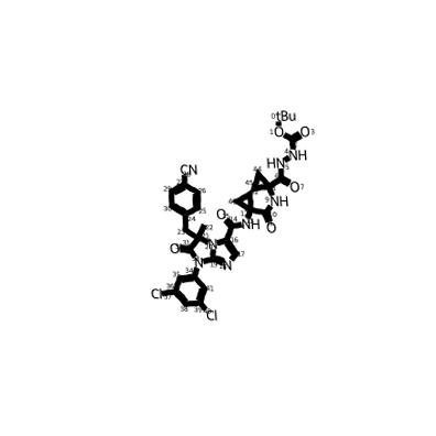 CC(C)(C)OC(=O)NNC(=O)C1(NC(=O)C2(NC(=O)c3cnc4n3C(C)(Cc3ccc(C#N)cc3)C(=O)N4c3cc(Cl)cc(Cl)c3)CC2)CC1